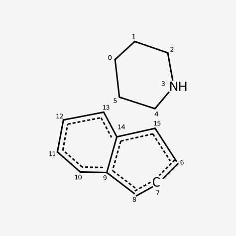 C1CCNCC1.c1ccc2ccccc2c1